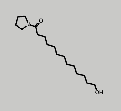 O=C(CCCCCCCCCCCCO)N1CCCC1